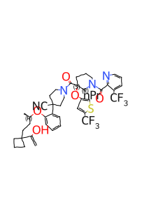 C=C(O)C1(CC[C@@H](C)Oc2ccccc2C2(C#N)CCN(C(=O)[C@]3(Oc4csc(C(F)(F)F)c4)CCCN(C(=O)c4ncccc4C(F)(F)F)[C@@H]3CCC)CC2)CCC1